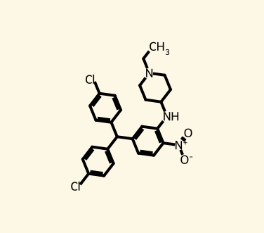 CCN1CCC(Nc2cc(C(c3ccc(Cl)cc3)c3ccc(Cl)cc3)ccc2[N+](=O)[O-])CC1